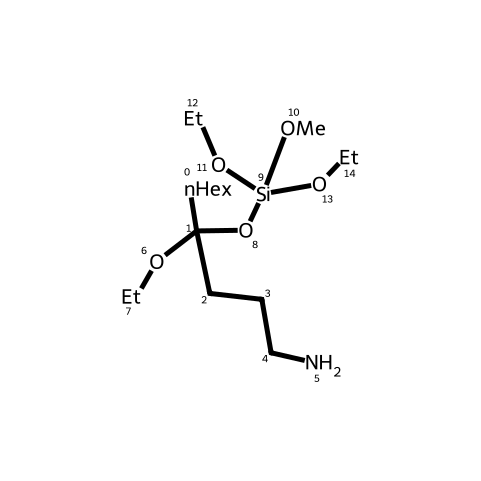 CCCCCCC(CCCN)(OCC)O[Si](OC)(OCC)OCC